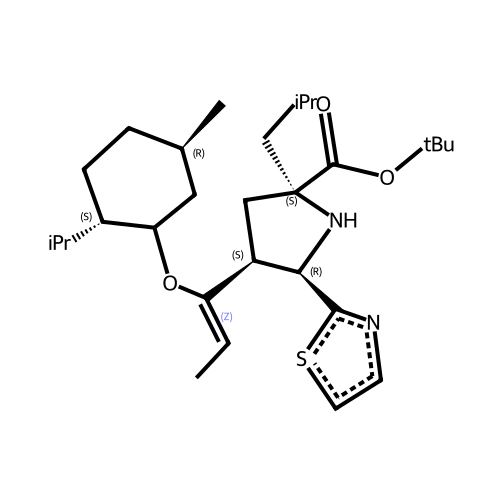 C/C=C(\OC1C[C@H](C)CC[C@H]1C(C)C)[C@H]1C[C@@](CC(C)C)(C(=O)OC(C)(C)C)N[C@H]1c1nccs1